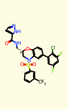 O=C(NC[C@H]1CN(S(=O)(=O)c2cccc(C(F)(F)F)c2)c2cc(-c3cc(F)cc(F)c3Cl)ccc2O1)c1ccn[nH]1